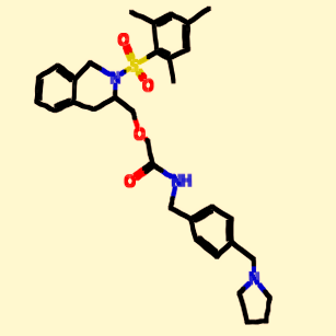 Cc1cc(C)c(S(=O)(=O)N2Cc3ccccc3CC2COCC(=O)NCc2ccc(CN3CCCC3)cc2)c(C)c1